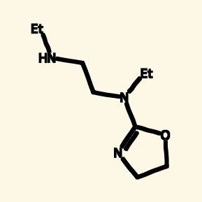 CCNCCN(CC)C1=NCCO1